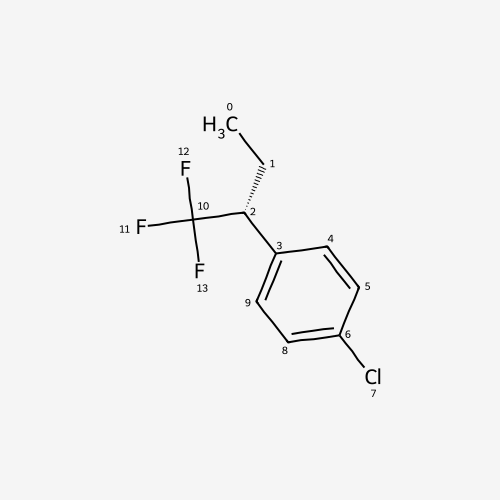 CC[C@H](c1ccc(Cl)cc1)C(F)(F)F